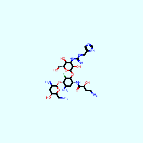 N=C(NCc1cnc[nH]1)NC1C(O)[C@@H](CO)OC(OC2C(F)[C@H](O[C@H]3OC(CN)[C@@H](O)CC3N)C(N)C[C@H]2NC(=O)[C@@H](O)CCN)[C@@H]1O